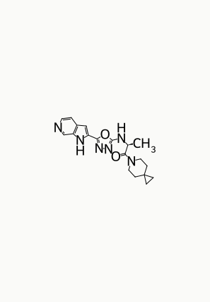 C[C@H](Nc1nnc(-c2cc3ccncc3[nH]2)o1)C(=O)N1CCC2(CC1)CC2